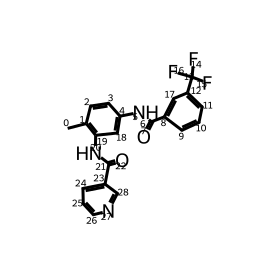 Cc1ccc(NC(=O)c2cccc(C(F)(F)F)c2)cc1NC(=O)c1cccnc1